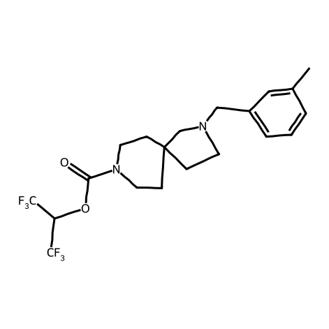 Cc1cccc(CN2CCC3(CCN(C(=O)OC(C(F)(F)F)C(F)(F)F)CC3)C2)c1